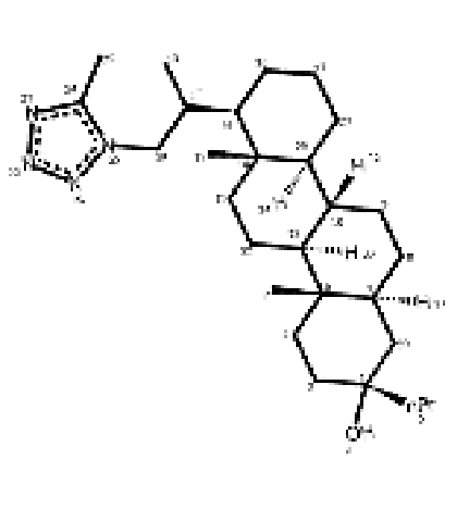 CCC[C@@]1(O)CC[C@@]2(C)[C@@H](CC[C@@H]3[C@@H]2CC[C@]2(C)[C@@H](C(C)Cn4nnnc4C)CCC[C@@H]32)C1